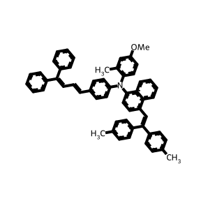 COc1ccc(N(c2ccc(/C=C/C=C(c3ccccc3)c3ccccc3)cc2)c2ccc(C=C(c3ccc(C)cc3)c3ccc(C)cc3)c3ccccc23)c(C)c1